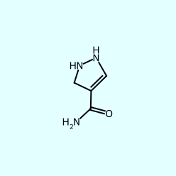 NC(=O)C1=CNNC1